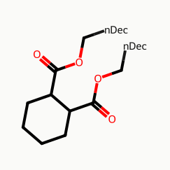 CCCCCCCCCCCOC(=O)C1CCCCC1C(=O)OCCCCCCCCCCC